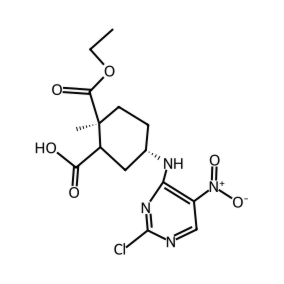 CCOC(=O)[C@@]1(C)CC[C@H](Nc2nc(Cl)ncc2[N+](=O)[O-])CC1C(=O)O